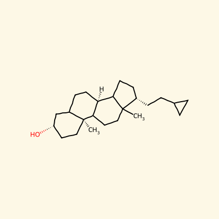 CC12CCC3[C@@H](CCC4C[C@@H](O)CC[C@@]43C)C1CC[C@@H]2CCC1CC1